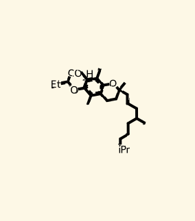 CCC(Oc1c(C)c(C)c2c(c1C)CCC(C)(CCCC(C)CCCC(C)C)O2)C(=O)O